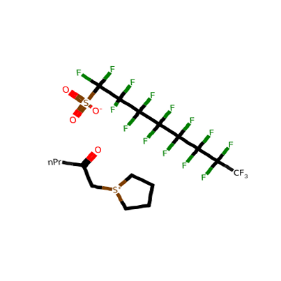 CCCC(=O)C[S+]1CCCC1.O=S(=O)([O-])C(F)(F)C(F)(F)C(F)(F)C(F)(F)C(F)(F)C(F)(F)C(F)(F)C(F)(F)F